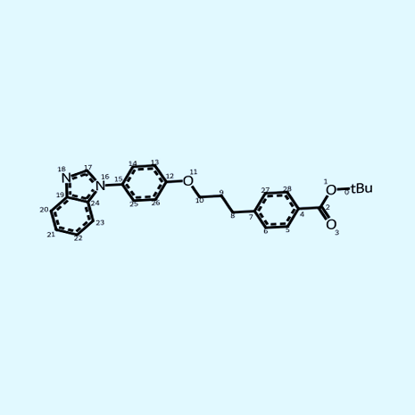 CC(C)(C)OC(=O)c1ccc(CCCOc2ccc(-n3cnc4ccccc43)cc2)cc1